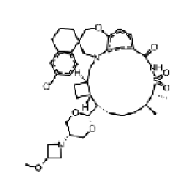 COC1CN([C@H]2CO[C@@H]([C@H]3CCC[C@H](C)[C@@H](C)S(=O)(=O)NC(=O)c4ccc5c(c4)N(C[C@@H]4CC[C@H]43)C[C@@]3(CCCc4cc(Cl)ccc43)CO5)OC2)C1